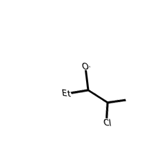 CCC([O])C(C)Cl